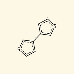 [c]1[c]c(-c2ccsc2)cs1